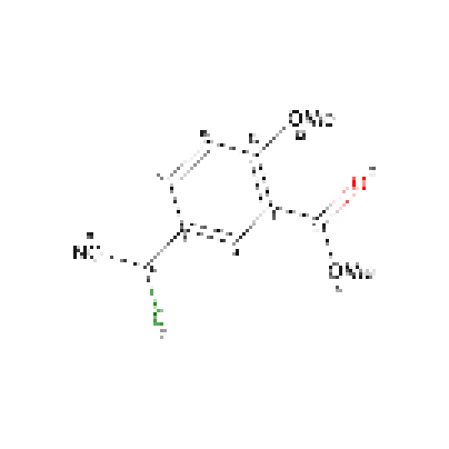 COC(=O)c1cc(C(Cl)C#N)ccc1OC